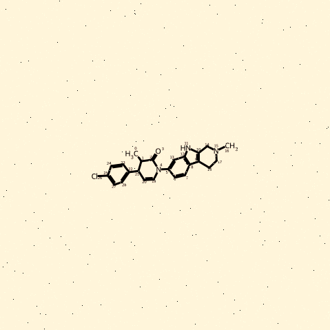 CC1C(=O)N(c2ccc3c4c([nH]c3c2)CN(C)CC4)C=CC1c1ccc(Cl)cc1